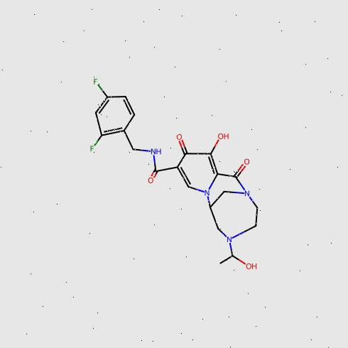 CC(O)N1CCN2CC(C1)n1cc(C(=O)NCc3ccc(F)cc3F)c(=O)c(O)c1C2=O